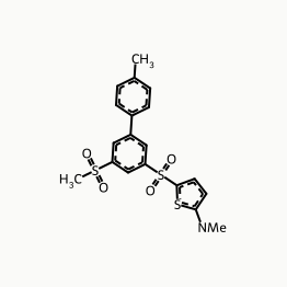 CNc1ccc(S(=O)(=O)c2cc(-c3ccc(C)cc3)cc(S(C)(=O)=O)c2)s1